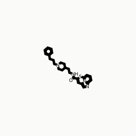 O=C(NCCC1CCN(CCCc2ccccc2)CC1)C1=Cc2cnc3cccc(n23)S1